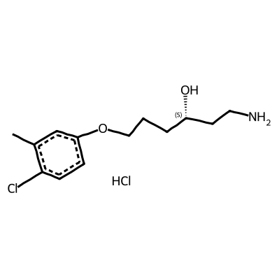 Cc1cc(OCCC[C@H](O)CCN)ccc1Cl.Cl